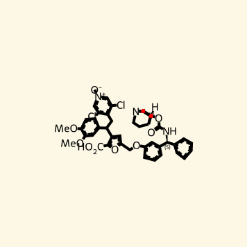 COc1ccc(C(Cc2c(Cl)c[n+]([O-])cc2Cl)c2cc(COc3cccc([C@@H](NC(=O)O[C@H]4CN5CCC4CC5)c4ccccc4)c3)oc2C(=O)O)cc1OC